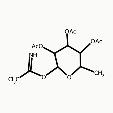 CC(=O)OC1C(C)OC(OC(=N)C(Cl)(Cl)Cl)C(OC(C)=O)C1OC(C)=O